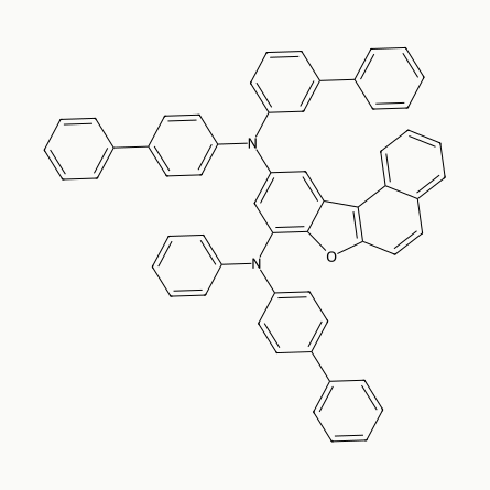 c1ccc(-c2ccc(N(c3cccc(-c4ccccc4)c3)c3cc(N(c4ccccc4)c4ccc(-c5ccccc5)cc4)c4oc5ccc6ccccc6c5c4c3)cc2)cc1